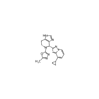 Cc1nnc(N2CCc3[nH]cnc3C2c2cc3c(C4CC4)cccn3n2)o1